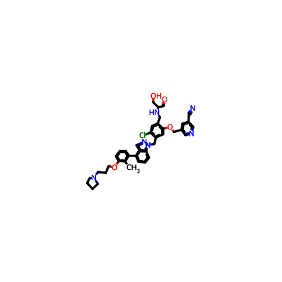 Cc1c(OCCCN2CCCC2)cccc1-c1cccc2c1cnn2Cc1cc(OCc2cncc(C#N)c2)c(CNC(C=O)CO)cc1Cl